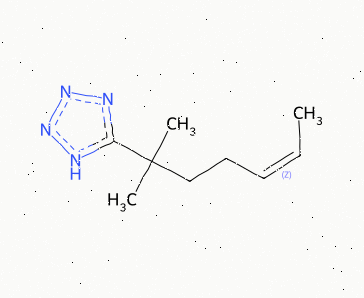 C/C=C\CCC(C)(C)c1nnn[nH]1